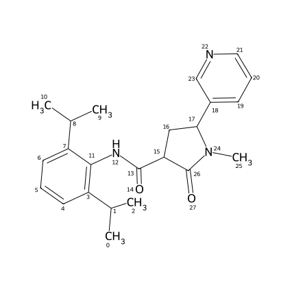 CC(C)c1cccc(C(C)C)c1NC(=O)C1CC(c2cccnc2)N(C)C1=O